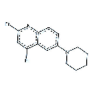 CCc1cc(CC)c2cc(N3CCCCC3)ccc2n1